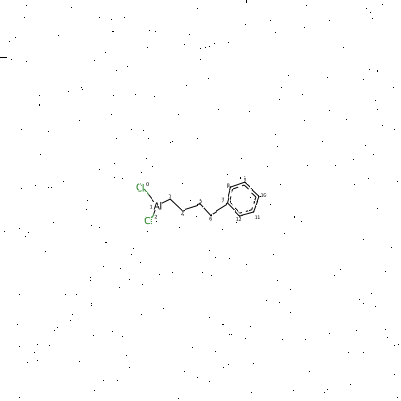 [Cl][Al]([Cl])[CH2]CCCc1ccccc1